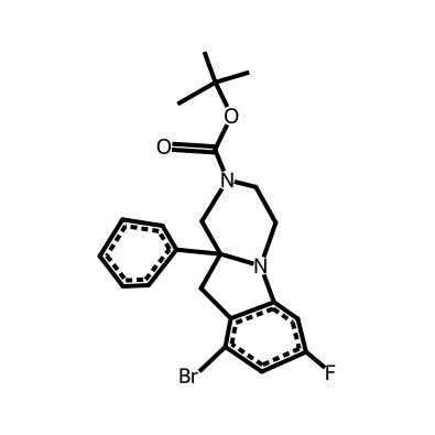 CC(C)(C)OC(=O)N1CCN2c3cc(F)cc(Br)c3CC2(c2ccccc2)C1